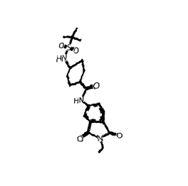 CCN1C(=O)c2ccc(NC(=O)C3CCC(NS(=O)(=O)C(C)(C)C)CC3)cc2C1=O